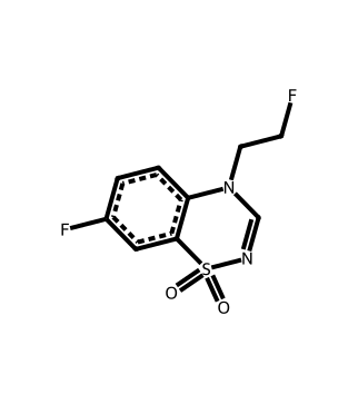 O=S1(=O)N=CN(CCF)c2ccc(F)cc21